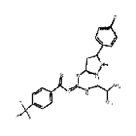 CC(C)CN/C(=N/C(=O)c1ccc(C(F)(F)F)cc1)NC1CC(c2ccc(Cl)cc2)NN1